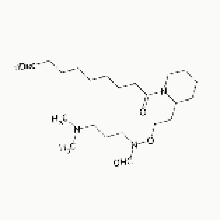 CCCCCCCCCCCCCCCCCC(=O)N1CCCCC1CCON(C=O)CCCN(C)C